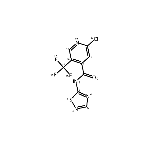 O=C(Nc1ncns1)c1cc(Cl)ncc1C(F)(F)F